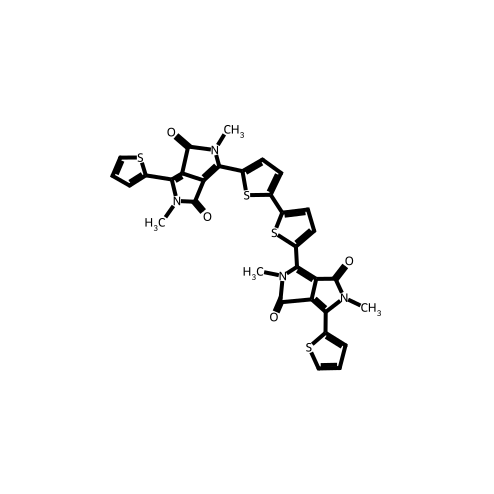 CN1C(=O)C2=C(c3ccc(-c4ccc(C5=C6C(=O)N(C)C(c7cccs7)=C6C(=O)N5C)s4)s3)N(C)C(=O)C2=C1c1cccs1